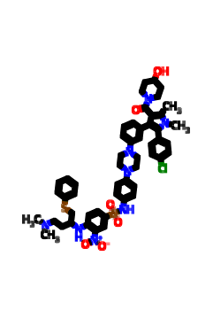 Cc1c(C(=O)N2CCC(O)CC2)c(-c2cccc(N3CCN(c4ccc(NS(=O)(=O)c5ccc(NC(CCN(C)C)CSc6ccccc6)c([N+](=O)[O-])c5)cc4)CC3)c2)c(-c2ccc(Cl)cc2)n1C